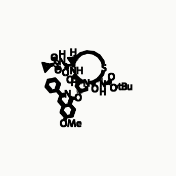 COc1ccc2c(O[C@@H]3C[C@H]4C(=O)N[C@]5(C(=O)NS(=O)(=O)C6CC6)C[C@H]5CCCCCSC[C@H](NC(=O)OC(C)(C)C)C(=O)N4C3)nc(-c3ccccc3)cc2c1